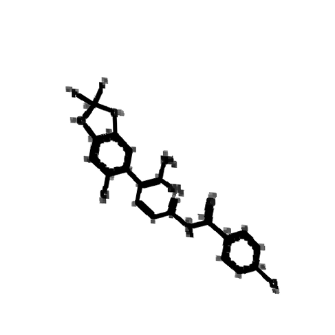 C=C(/C=C\C(=C(N)N)c1cc2c(cc1Cl)OC(F)(F)O2)NC(=O)c1ccc(Cl)cc1